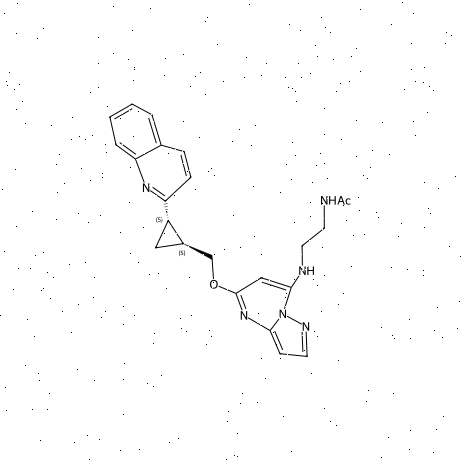 CC(=O)NCCNc1cc(OC[C@H]2C[C@@H]2c2ccc3ccccc3n2)nc2ccnn12